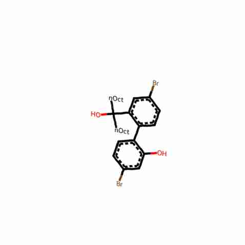 CCCCCCCCC(O)(CCCCCCCC)c1cc(Br)ccc1-c1ccc(Br)cc1O